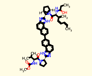 C=C(/C=C\C=C/C)[C@@H](NC(O)CC)C(=O)N1[C@@H]2CC[C@@H](C2)[C@H]1c1nc2ccc3cc(-c4ccc5c(ccc6nc([C@@H]7CCCN7C(=O)[C@@H](NC(=O)OC)C(C)C)[nH]c65)c4)ccc3c2[nH]1